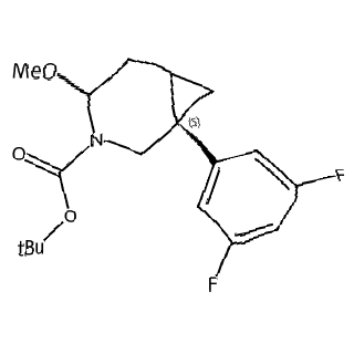 COC1CC2C[C@]2(c2cc(F)cc(F)c2)CN1C(=O)OC(C)(C)C